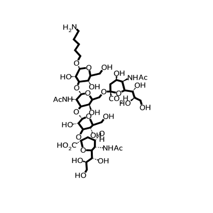 CC(=O)N[C@@H]1C([C@H](O)[C@H](O)CO)O[C@](OC2[C@@H](O)C(CO)O[C@@H](OC3[C@H](O)C(CO[C@]4(C(=O)O)C[C@@H](O)[C@@H](NC(C)=O)C([C@H](O)[C@H](O)CO)O4)O[C@@H](OC4[C@@H](O)C(CO)O[C@@H](OCCCCCN)[C@H]4O)[C@H]3NC(C)=O)[C@H]2O)(C(=O)O)C[C@@H]1O